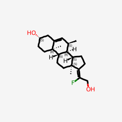 C[C@@H]1C=C2C[C@@H](O)CC[C@]2(C)[C@H]2CC[C@]3(C)C(=C(F)CO)CC[C@H]3[C@H]12